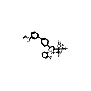 CCOc1cccc(-c2ccc(C3CC(C(O)(C(F)(F)F)C(F)(F)F)=NN3c3ccccc3F)cc2)c1